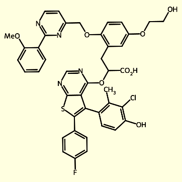 COc1ccccc1-c1nccc(COc2ccc(OCCO)cc2CC(Oc2ncnc3sc(-c4ccc(F)cc4)c(-c4ccc(O)c(Cl)c4C)c23)C(=O)O)n1